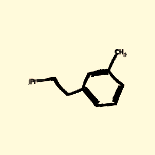 Cc1cccc(CCC(C)C)c1